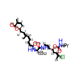 CC1=CC[C@@H]([C@@H](C)/C=C(C)/C=C\C=C/C(=O)N[C@H](C(=O)N/C=C\C[C@H](C/C=C(\C)Cl)OC(=O)NC(C)C)C(C)(C)C)OC1=O